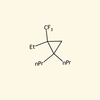 CCCC1(CCC)CC1(CC)C(F)(F)F